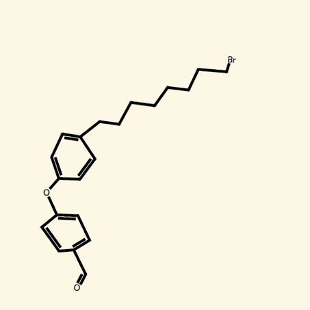 O=Cc1ccc(Oc2ccc(CCCCCCCCBr)cc2)cc1